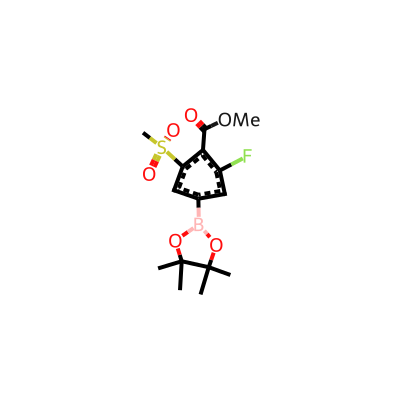 COC(=O)c1c(F)cc(B2OC(C)(C)C(C)(C)O2)cc1S(C)(=O)=O